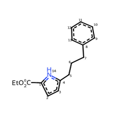 CCOC(=O)c1ccc(CCCc2ccccc2)[nH]1